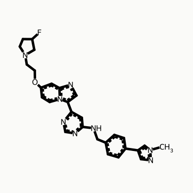 Cn1cc(-c2ccc(CNc3cc(-c4cnc5cc(OCCN6CCC(F)C6)ccn45)ncn3)cc2)cn1